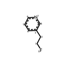 FCCc1c[c]cnc1